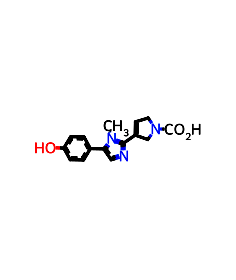 Cn1c(-c2ccc(O)cc2)cnc1C1=CCN(C(=O)O)C1